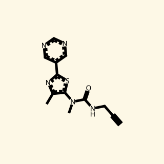 C#CCNC(=O)N(C)c1sc(-c2cncnc2)nc1C